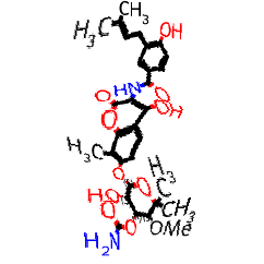 CO[C@H]1[C@H](OC(N)=O)[C@H](O)[C@@H](Oc2ccc3c(O)c(NC(=O)c4ccc(O)c(CC=C(C)C)c4)c(=O)oc3c2C)OC1(C)C